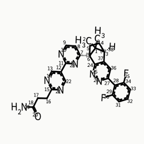 CC1(C)[C@H]2CC[C@]1(c1ccnc(-c3cnc(CCC(N)=O)nc3)n1)c1nnc(-c3c(F)cccc3F)cc12